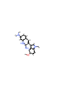 COc1ccc2c(c1)c(C1=Cc3ccc(N(C)C)cc3NC1N)cn2C